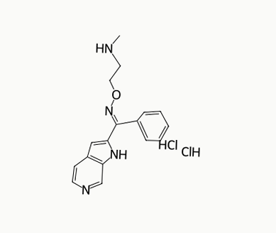 CNCCON=C(c1ccccc1)c1cc2ccncc2[nH]1.Cl.Cl